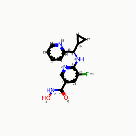 O=C(NO)c1cnc(N[C@@H](c2ccccn2)C2CC2)c(F)c1